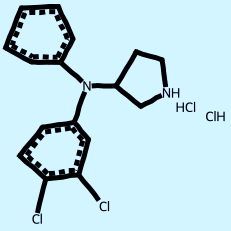 Cl.Cl.Clc1ccc(N(c2ccccc2)C2CCNC2)cc1Cl